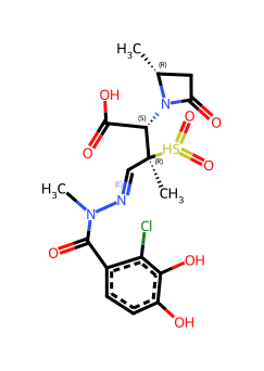 C[C@@H]1CC(=O)N1[C@@H](C(=O)O)[C@](C)(/C=N/N(C)C(=O)c1ccc(O)c(O)c1Cl)[SH](=O)=O